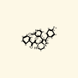 O=C(C(=O)N1NCCn2nc(-c3ccc(F)cc3)c(-c3ccnc(Cl)c3)c21)c1ccccc1